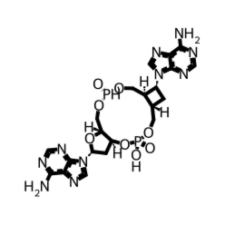 Nc1ncnc2c1ncn2[C@@H]1C[C@@H]2COP(=O)(O)O[C@H]3C[C@H](n4cnc5c(N)ncnc54)O[C@@H]3CO[PH](=O)OC[C@H]21